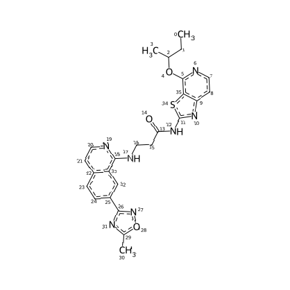 CCC(C)Oc1nccc2nc(NC(=O)CCNc3nccc4ccc(-c5noc(C)n5)cc34)sc12